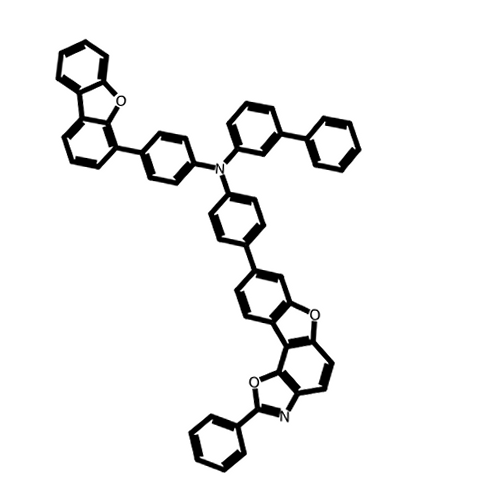 c1ccc(-c2cccc(N(c3ccc(-c4ccc5c(c4)oc4ccc6nc(-c7ccccc7)oc6c45)cc3)c3ccc(-c4cccc5c4oc4ccccc45)cc3)c2)cc1